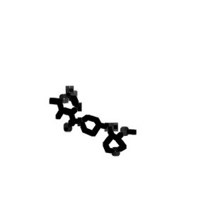 C=C(Cl)/C(C)=C(\N=C/N)C(=O)N1CCC(NC2CCOCC2OC)CC1